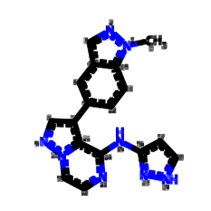 Cn1ncc2cc(-c3cnn4ccnc(Nc5cc[nH]n5)c34)ccc21